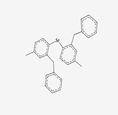 Cc1ccc([Se]c2ccc(C)cc2Cc2ccccc2)c(Cc2ccccc2)c1